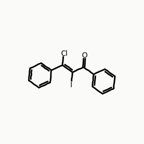 O=C(C(I)=C(Cl)c1ccccc1)c1ccccc1